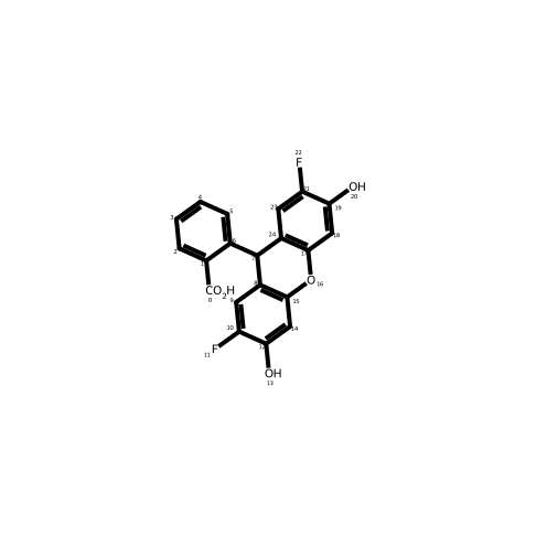 O=C(O)c1ccccc1C1c2cc(F)c(O)cc2Oc2cc(O)c(F)cc21